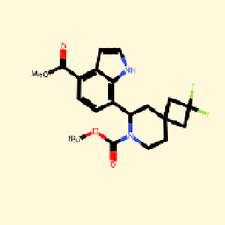 COC(=O)c1ccc(C2CC3(CCN2C(=O)OC(C)(C)C)CC(F)(F)C3)c2[nH]ccc12